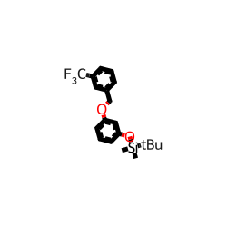 CC(C)(C)[Si](C)(C)Oc1cccc(OCc2cccc(C(F)(F)F)c2)c1